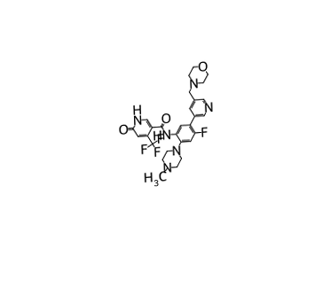 CN1CCN(c2cc(F)c(-c3cncc(CN4CCOCC4)c3)cc2NC(=O)c2c[nH]c(=O)cc2C(F)(F)F)CC1